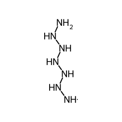 [NH]NNNNNN